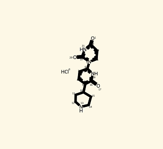 Cl.O=c1ccn(-c2ccc(C3CCNCC3)c(=O)[nH]2)c(=O)[nH]1